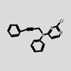 Clc1nccc(N(CC#Cc2ccccc2)c2ccccc2)n1